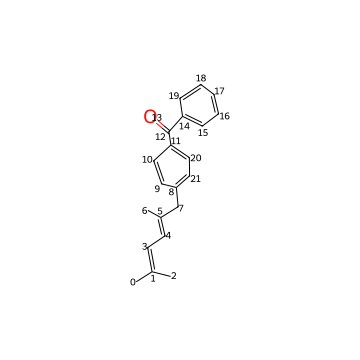 CC(C)=C/C=C(\C)Cc1ccc(C(=O)c2ccccc2)cc1